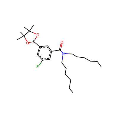 CCCCCCN(CCCCCC)C(=O)c1cc(Br)cc(B2OC(C)(C)C(C)(C)O2)c1